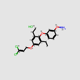 CCc1cc(OCC=C(Cl)Cl)cc(CC)c1Oc1cccc(ON)c1.Cl